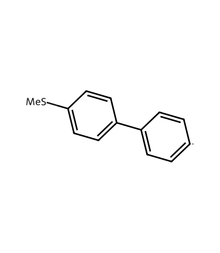 CSc1ccc(-c2cc[c]cc2)cc1